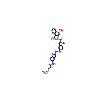 CSSCCC(=O)Nc1ccc2[nH]c(C(=O)Nc3ccc4[nH]c(C(=O)N5C[C@@H](CI)c6c5cc(O)c5ccccc65)cc4c3)cc2c1